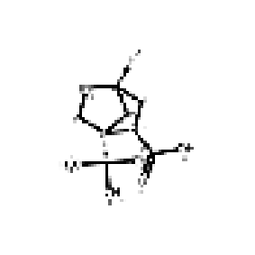 CC(C)(C)[C@@]12CN[C@H](CN1C(=O)O)C2